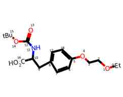 CCOCCOc1ccc(CC(NC(=O)OC(C)(C)C)C(=O)O)cc1